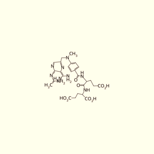 C=C(N)/N=C1/N=CC(CN(C)c2ccc(C(=O)NC(CCC(=O)O)C(=O)NC(CCC(=O)O)C(=O)O)cc2)=NC1=C(N)N